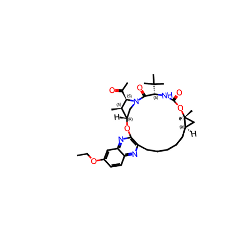 CCOc1ccc2nc3c(nc2c1)O[C@H]1CN(C(=O)[C@H](C(C)(C)C)NC(=O)O[C@]2(C)C[C@H]2CCCCC3)[C@H](C(C)=O)[C@@H]1C